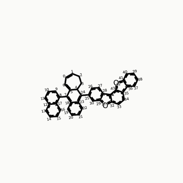 C1=CCCC2C(=C1)C(c1cccc3ccccc13)=c1ccccc1=C2c1ccc2c(c1)oc1ccc3c4ccccc4oc3c12